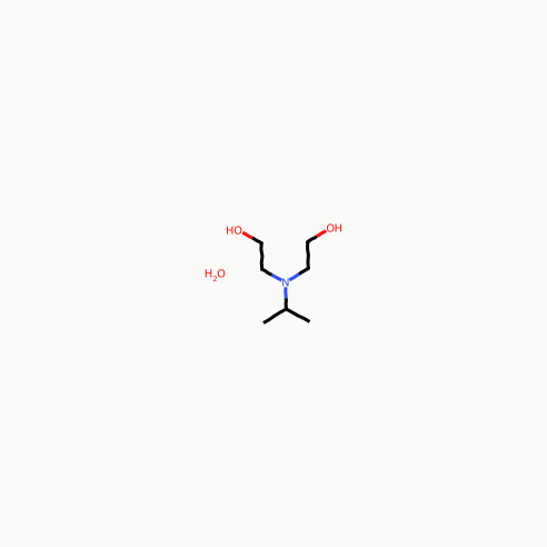 CC(C)N(CCO)CCO.O